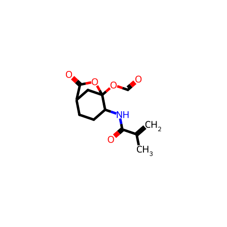 C=C(C)C(=O)NC1CCC2CC1(OC=O)OC2=O